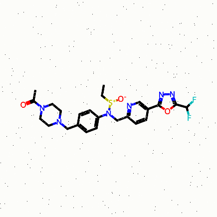 CC[S+]([O-])N(Cc1ccc(-c2nnc(C(F)F)o2)cn1)c1ccc(CN2CCN(C(C)=O)CC2)cc1